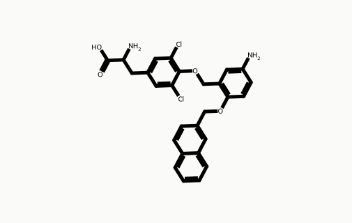 Nc1ccc(OCc2ccc3ccccc3c2)c(COc2c(Cl)cc(CC(N)C(=O)O)cc2Cl)c1